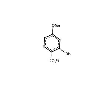 CCOC(=O)c1ncc(OC)cc1O